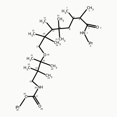 CC(C)NC(=O)C(C)C(C)CC(C)(C)C(C)C(C)(C)COC(C)(C)C(C)(C)CNC(=O)OC(C)C